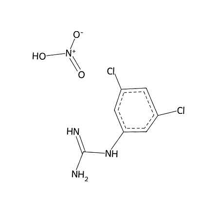 N=C(N)Nc1cc(Cl)cc(Cl)c1.O=[N+]([O-])O